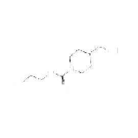 CCC1CCN(C(=O)OCCCl)CC1